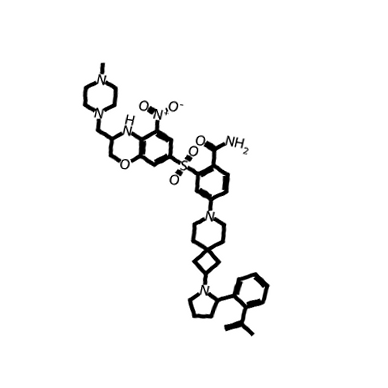 C=C(C)c1ccccc1C1CCCN1C1CC2(CCN(c3ccc(C(N)=O)c(S(=O)(=O)c4cc5c(c([N+](=O)[O-])c4)NC(CN4CCN(C)CC4)CO5)c3)CC2)C1